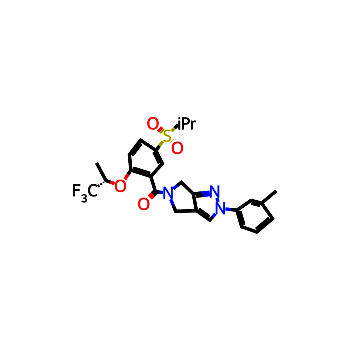 Cc1cccc(-n2cc3c(n2)CN(C(=O)c2cc(S(=O)(=O)C(C)C)ccc2O[C@@H](C)C(F)(F)F)C3)c1